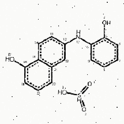 O=[SH](=O)O.Oc1ccccc1Nc1ccc2c(O)cccc2c1